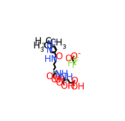 C[N+](C)(C)c1ccc(C(=O)NCCCC[C@H](NC(=O)N[C@@H](CCC(=O)O)C(=O)O)C(=O)O)cn1.O=C([O-])C(F)(F)F